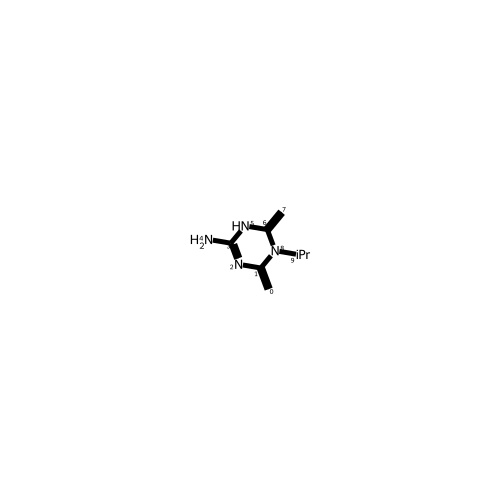 C=C1N=C(N)NC(=C)N1C(C)C